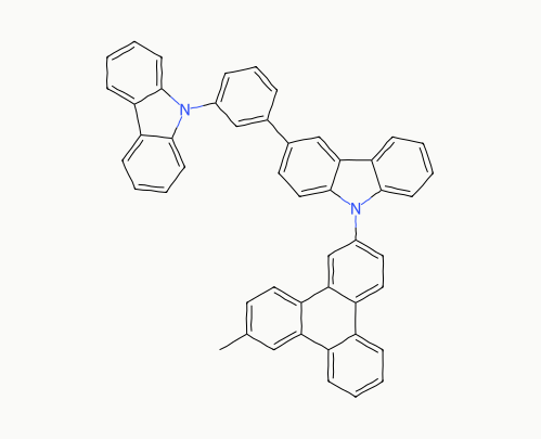 Cc1ccc2c(c1)c1ccccc1c1ccc(-n3c4ccccc4c4cc(-c5cccc(-n6c7ccccc7c7ccccc76)c5)ccc43)cc12